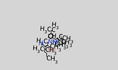 B=C(C)/C(C(=C)Nc1ccc(C(C)C)cc1C(/C=C(\C)C(C)(C)C)=N/C)=C(/C#N)C(C)(C)CCCC